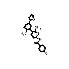 Cc1ccc(-c2ncco2)cc1-c1ccc(NC(=O)c2ccc(Cl)cc2)nc1N